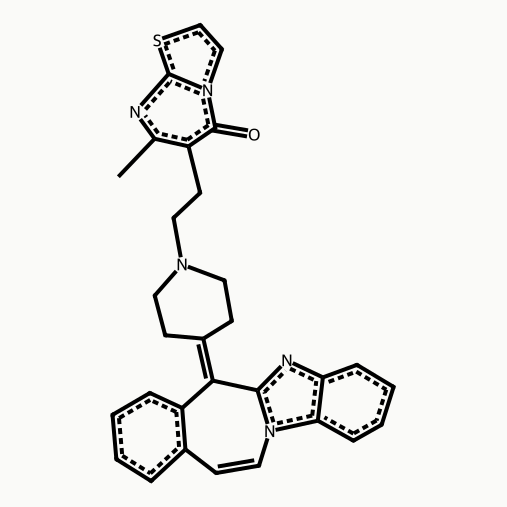 Cc1nc2sccn2c(=O)c1CCN1CCC(=C2c3ccccc3C=Cn3c2nc2ccccc23)CC1